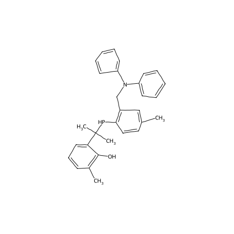 Cc1ccc(PC(C)(C)c2cccc(C)c2O)c(CN(c2ccccc2)c2ccccc2)c1